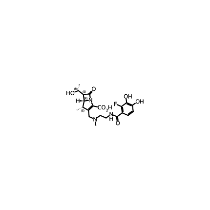 C[C@@H](O)[C@H]1C(=O)N2C(C(=O)O)=C(CN(C)CCNC(=O)c3ccc(O)c(O)c3F)[C@H](C)[C@H]12